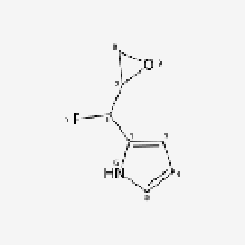 FC(c1ccc[nH]1)C1CO1